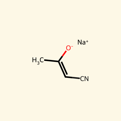 CC([O-])=CC#N.[Na+]